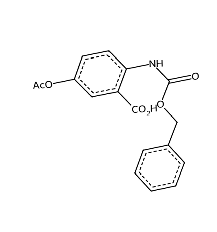 CC(=O)Oc1ccc(NC(=O)OCc2ccccc2)c(C(=O)O)c1